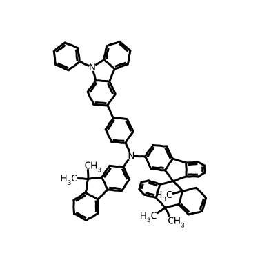 CC1(C)C2=CC=CCC2(C)C2(c3ccccc3-c3ccc(N(c4ccc(-c5ccc6c(c5)c5ccccc5n6-c5ccccc5)cc4)c4ccc5c(c4)C(C)(C)c4ccccc4-5)cc32)c2ccccc21